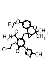 Cc1cn(-c2cc(CC34CC3C(C)(C)Oc3ccc(OC(F)(F)F)cc34)c(C(N)=O)n(CCCl)c2=O)cn1